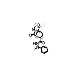 CN(NC(=O)[C@@H]1CC[C@@H]2CN1C(=O)N2OS(=O)(=O)O)c1ccccc1